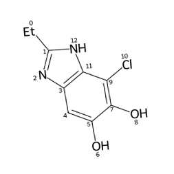 CCc1nc2cc(O)c(O)c(Cl)c2[nH]1